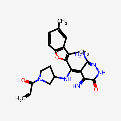 C=CC(=O)N1CCC(N/C(=C2\C(=N)C(=O)NN=C2N)c2oc3ccc(C)cc3c2C)C1